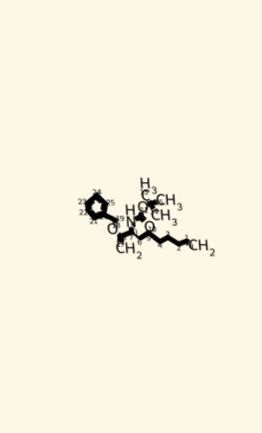 C=CCCCCC[C@H](NC(=O)OC(C)(C)C)C(=C)OCc1ccccc1